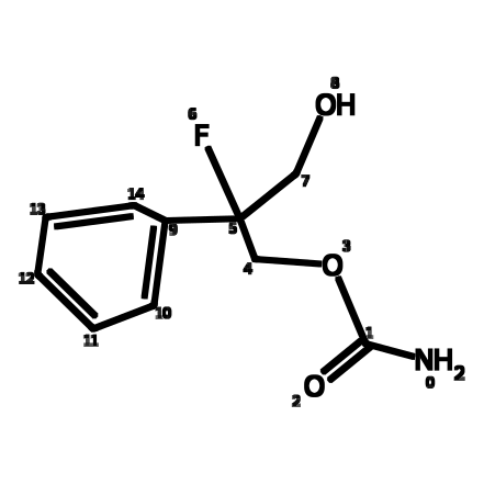 NC(=O)OCC(F)(CO)c1ccccc1